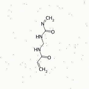 C=CC(=O)NCNC(=O)N=C